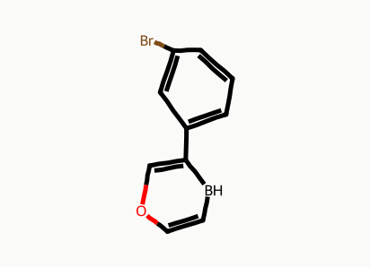 Brc1cccc(C2=COC=CB2)c1